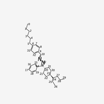 CCCCCCc1ccc(C=NN=C(c2ccccc2)[C@H]2CC[C@H](C(CC)CCC)CC2)cc1